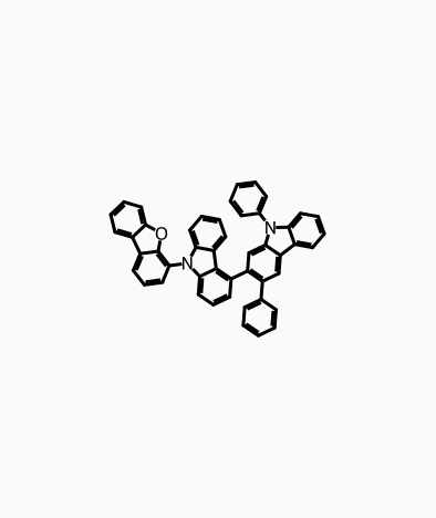 c1ccc(-c2cc3c4ccccc4n(-c4ccccc4)c3cc2-c2cccc3c2c2ccccc2n3-c2cccc3c2oc2ccccc23)cc1